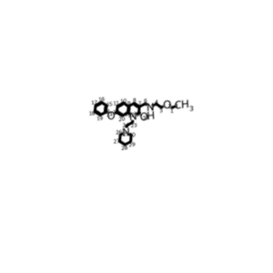 CCOCCNCc1cc2ccc(Oc3ccccc3)cc2n(CCN2CCCCC2)c1=O